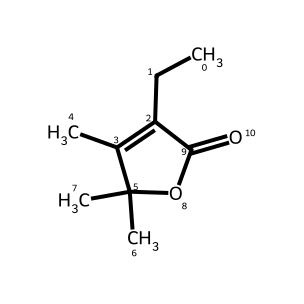 CCC1=C(C)C(C)(C)OC1=O